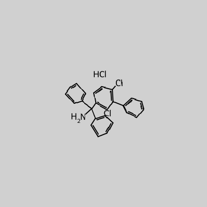 Cl.NC(c1ccccc1)(c1ccccc1)c1ccc(Cl)c(-c2ccccc2)c1Cl